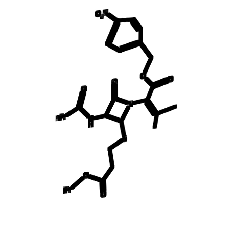 CCCC(=O)NC1C(=O)N(C(C(=O)OCc2ccc([N+](=O)[O-])cc2)=C(C)C)C1SCCC(=O)OC(C)C